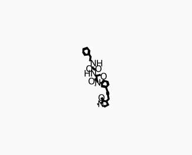 CN1CCC(CC#Cc2ccc3c(c2)N(C)C(=O)[C@@H](NC(=O)C(=O)NCCc2ccccc2)CO3)C1=O